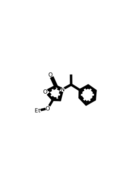 CCOc1cn(C(C)c2ccccc2)c(=O)o1